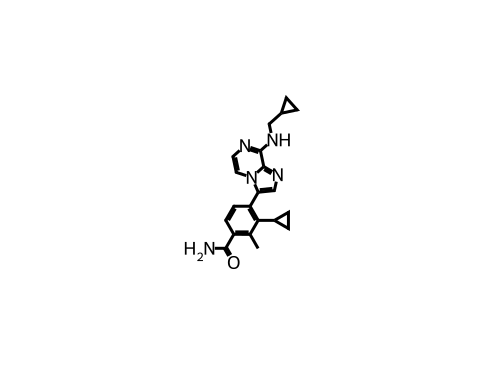 Cc1c(C(N)=O)ccc(-c2cnc3c(NCC4CC4)nccn23)c1C1CC1